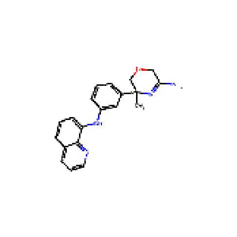 CC1(c2cccc(Nc3cccc4cccnc34)c2)COCC(N)=N1